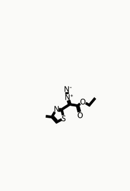 CCOC(=O)C(=[N+]=[N-])c1nc(C)cs1